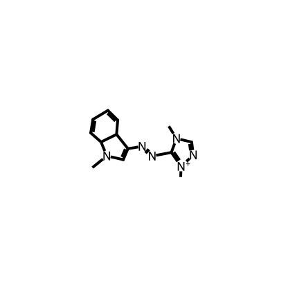 CN1C=C(N=Nc2n(C)cn[n+]2C)C2C=CC=CC21